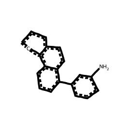 Nc1cccc(-c2cccc3c2ccc2ccccc23)c1